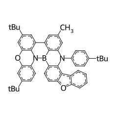 Cc1cc2c3c(c1)N(c1ccc(C(C)(C)C)cc1)c1c(ccc4oc5ccccc5c14)B3N1c3ccc(C(C)(C)C)cc3Oc3cc(C(C)(C)C)cc-2c31